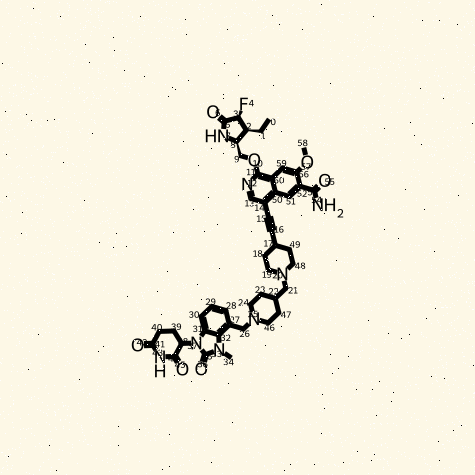 CC[C@@H]1[C@H](F)C(=O)N[C@@H]1COc1ncc(C#CC2CCN(CC3CCN(Cc4cccc5c4n(C)c(=O)n5C4CCC(=O)NC4=O)CC3)CC2)c2cc(C(N)=O)c(OC)cc12